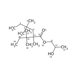 CCC(C)(C)CC(C)(C(=O)OCC(C)O)C(C)(C)CC